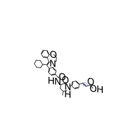 CC(C)CC(NC(=O)c1ccc2c(C3CCCCC3)c3n(c2c1)CCOc1ccccc1-3)C(=O)Nc1ccc(/C=C/C(=O)O)cc1